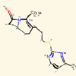 Cc1ccnc(SCCC2=C(C(=O)O)N3C(=O)CC3C2)n1